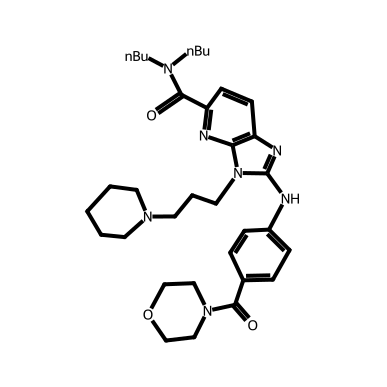 CCCCN(CCCC)C(=O)c1ccc2nc(Nc3ccc(C(=O)N4CCOCC4)cc3)n(CCCN3CCCCC3)c2n1